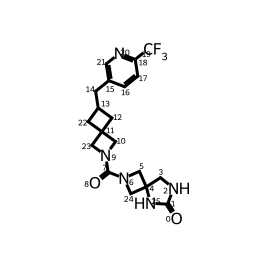 O=C1NCC2(CN(C(=O)N3CC4(CC(Cc5ccc(C(F)(F)F)nc5)C4)C3)C2)N1